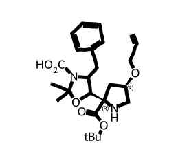 C=CCO[C@H]1CN[C@@](C(=O)OC(C)(C)C)(C2OC(C)(C)N(C(=O)O)C2Cc2ccccc2)C1